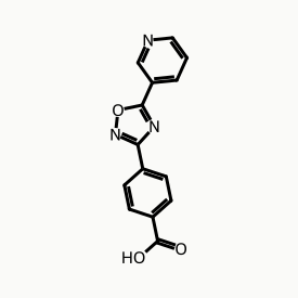 O=C(O)c1ccc(-c2noc(-c3cccnc3)n2)cc1